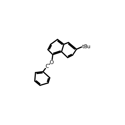 CC(C)(C)c1ccc2c(OCc3ccccc3)cccc2c1